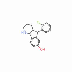 Oc1ccc2c(c1)C(c1ccccc1F)C1CCCNC21